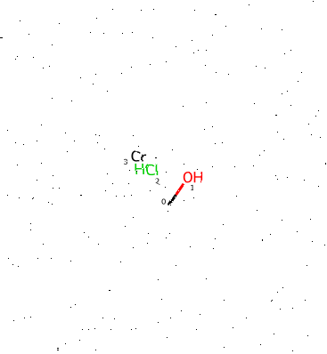 CO.Cl.[Cr]